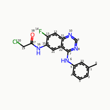 Cc1cccc(Nc2ncnc3cc(F)c(NC(=O)CCl)cc23)c1